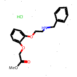 COC(=O)COc1ccccc1OCCNCc1ccccc1.Cl